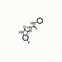 O=C1Nc2ccc(F)cc2/C1=N/NC(=S)Nc1ccccc1